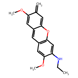 C=c1cc2c(cc1OC)=Cc1cc(OC)c(NCC)cc1O2